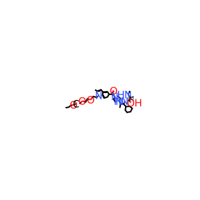 CCCOCCOCCOCCn1c(C)cc2c1=CCC(C(=O)N1CCN(C(C)C(NC(O)[C@H](C)NC)C3CCCCC3)CC1)C=2